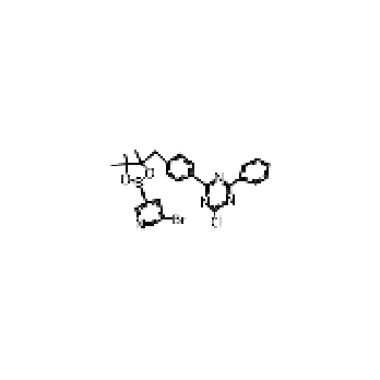 CC1(C)OB(c2cncc(Br)c2)OC1(C)Cc1ccc(-c2nc(Cl)nc(-c3ccccc3)n2)cc1